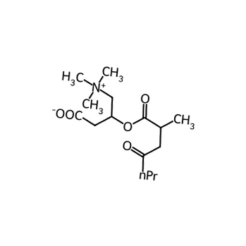 CCCC(=O)CC(C)C(=O)OC(CC(=O)[O-])C[N+](C)(C)C